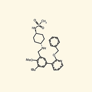 COc1c(CN[C@H]2CC[C@H](NS(C)(=O)=O)CC2)cc(-c2cccnc2OCc2ccccc2)cc1C(C)(C)C